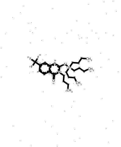 CCCCn1c([S][Sn]([CH2]CCC)([CH2]CCC)[CH2]CCC)nc2cc(C(F)(F)F)ccc2c1=O